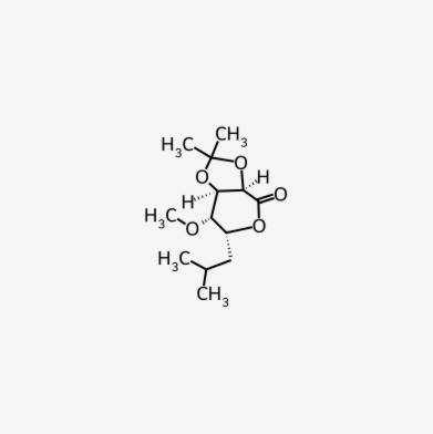 CO[C@@H]1[C@H]2OC(C)(C)O[C@H]2C(=O)O[C@@H]1CC(C)C